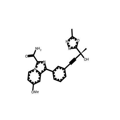 COc1ccn2c(C(N)=O)nc(-c3cccc(C#C[C@@](C)(O)c4nnc(C)o4)c3)c2c1